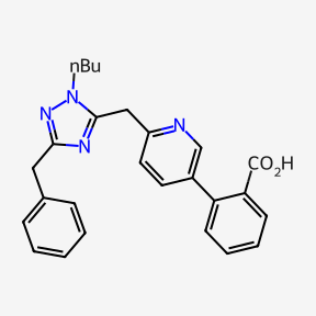 CCCCn1nc(Cc2ccccc2)nc1Cc1ccc(-c2ccccc2C(=O)O)cn1